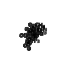 CC1O[C@@H](O[C@@H]2C(OC(=O)c3ccccc3)[C@H](O[C@@H]3C(COCc4ccccc4)O[C@H](OCN(Cc4ccccc4)C(=O)OCc4ccccc4)C(C)[C@H]3PBB=O)OC(COCc3ccccc3)[C@H]2C)[C@@H](OC(=O)c2ccccc2)C(C)[C@H]1C